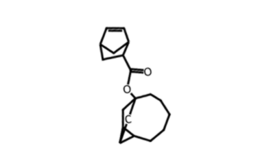 O=C(OC12CCCCCC3C(C1)C3C2)C1CC2C=CC1C2